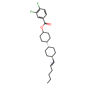 CCCC/C=C/[C@H]1CC[C@H](C2CCC(OC(=O)c3ccc(F)c(F)c3)CC2)CC1